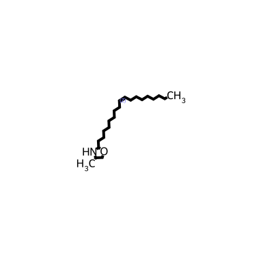 CCCCCCCC/C=C\CCCCCCCCC1NC(C)CO1